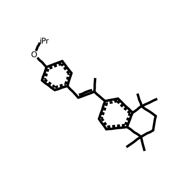 CC(=Cc1ccc(OC(C)C)cc1)c1ccc2c(c1)C(C)(C)CCC2(C)C